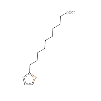 CCCCCCCCCCCCCCCCCc1cccs1